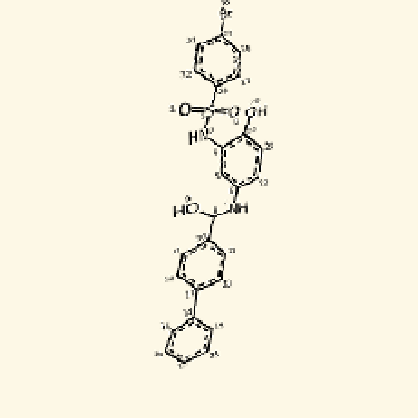 O=S(=O)(Nc1cc(NC(O)c2ccc(-c3ccccc3)cc2)ccc1O)c1ccc(Br)cc1